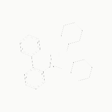 C1CCC(PC2CCCCC2)CC1.CN(C)c1ccccc1-c1ccccc1